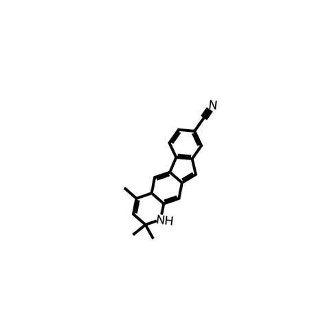 CC1=CC(C)(C)NC2=CC3=Cc4cc(C#N)ccc4C3=CC12